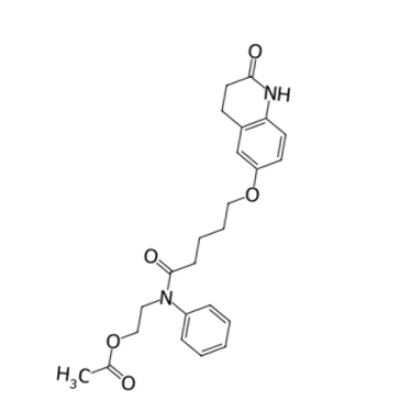 CC(=O)OCCN(C(=O)CCCCOc1ccc2c(c1)CCC(=O)N2)c1ccccc1